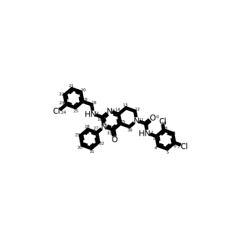 O=C(Nc1ccc(Cl)cc1Cl)N1CCc2nc(NCc3cccc(Cl)c3)n(-c3ccccc3)c(=O)c2C1